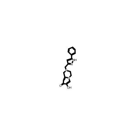 O=c1cc2n(cc1O)CCN(Cc1cc(-c3ccccc3)[nH]n1)C2